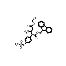 CCOC(=O)CC(N)C(C(=O)OCC1c2ccccc2-c2ccccc21)c1ccc(OS(C)(=O)=O)cc1